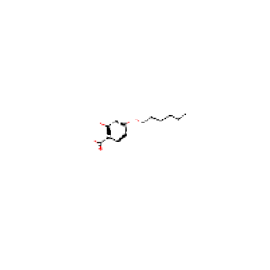 CCCCCCOc1ccc(C(=O)O)c(O)c1